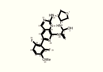 C=CC(O)N[C@H]1COC[C@H]1Nc1ncc2cc(-c3c(F)ccc(OC)c3F)nc(NC)c2n1